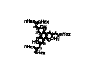 CCCCCCNCC(O)Cn1c(=O)n(CC(O)CN(CCCCCC)CCCCCC)c(=O)n(CC(O)CN(CCCCCC)CCCCCC)c1=O